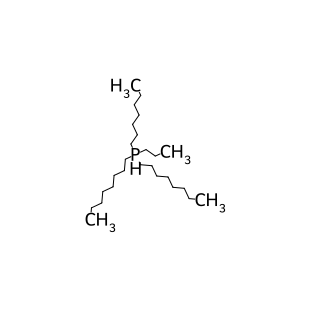 CCCCCCCC[PH](CCC)(CCCCCCC)CCCCCCCC